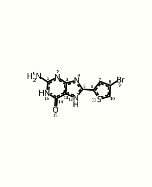 Nc1nc2nc(-c3cc(Br)cs3)[nH]c2c(=O)[nH]1